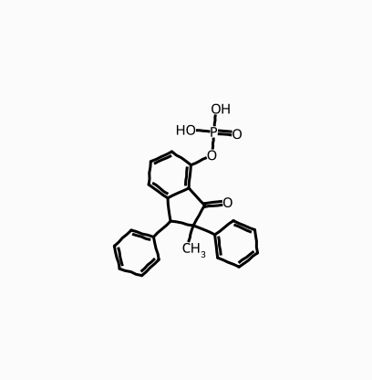 CC1(c2ccccc2)C(=O)c2c(OP(=O)(O)O)cccc2C1c1ccccc1